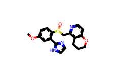 COc1ccc([S+]([O-])Cc2nccc3c2CCCO3)c(-c2ncc[nH]2)c1